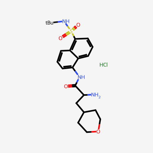 CC(C)(C)NS(=O)(=O)c1cccc2c(NC(=O)C(N)CC3CCOCC3)cccc12.Cl